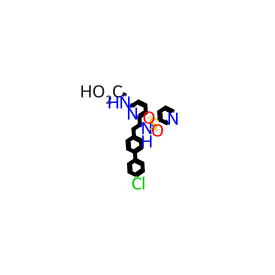 O=C(O)CNc1cccc(C(Cc2ccc(-c3ccc(Cl)cc3)cc2)NS(=O)(=O)c2cccnc2)n1